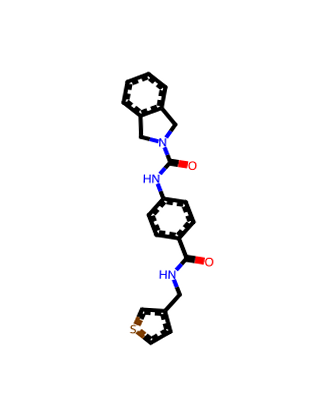 O=C(NCc1ccsc1)c1ccc(NC(=O)N2Cc3ccccc3C2)cc1